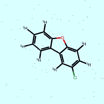 [2H]c1c([2H])c([2H])c2c(oc3c([2H])c([2H])c(Cl)c([2H])c32)c1[2H]